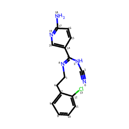 N#CN/C(=N\CCc1ccccc1Cl)c1ccc(N)nc1